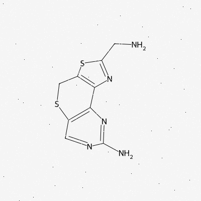 NCc1nc2c(s1)CSc1cnc(N)nc1-2